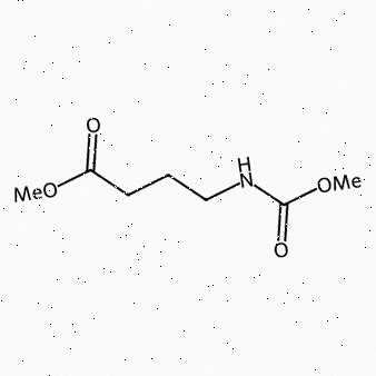 COC(=O)CCCNC(=O)OC